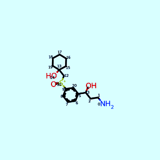 NCCC(O)c1cccc([S+]([O-])CC2(O)CCCCC2)c1